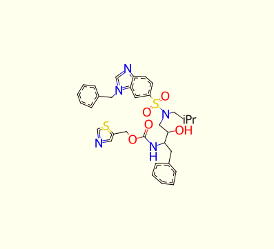 CC(C)CN(CC(O)C(Cc1ccccc1)NC(=O)OCc1cncs1)S(=O)(=O)c1ccc2ncn(Cc3ccccc3)c2c1